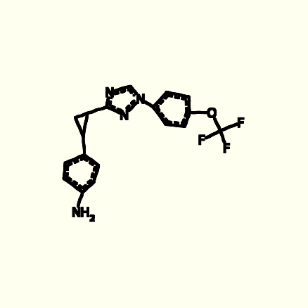 Nc1ccc(C2CC2c2ncn(-c3ccc(OC(F)(F)F)cc3)n2)cc1